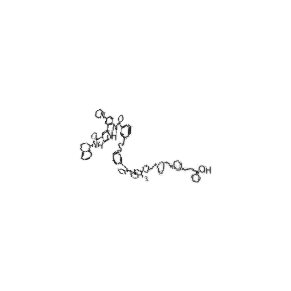 CN(CCOCCOCCOCCC(=O)O)C(=O)Cc1cccc(SCc2cccc(C(=O)Nc3ccc(N4CCCCC4)cc3-c3cc(C(=O)NC4CCCc5ccccc54)ccn3)c2)c1